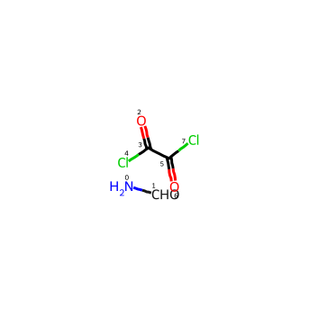 NC=O.O=C(Cl)C(=O)Cl